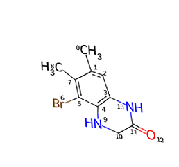 Cc1cc2c(c(Br)c1C)NCC(=O)N2